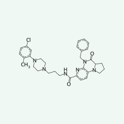 Cc1ccc(Cl)cc1N1CCN(CCCNC(=O)c2ccc3c(n2)N(Cc2ccccc2)C(=O)C2CCCN32)CC1